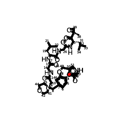 CC(=O)Oc1ccc(C[N+]2(CC(=O)NCC(=O)N[C@@H](CC(C)C)C(=O)NCC(=O)N[C@@H](CC(C)C)C(=O)[C@@]3(C)CO3)CCOCC2)cc1OCc1c[nH]nn1